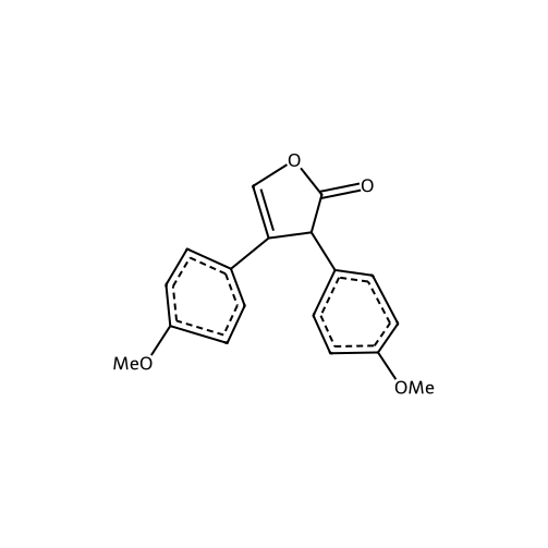 COc1ccc(C2=COC(=O)C2c2ccc(OC)cc2)cc1